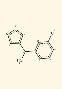 OC(c1ccsc1)c1cccc(Cl)c1